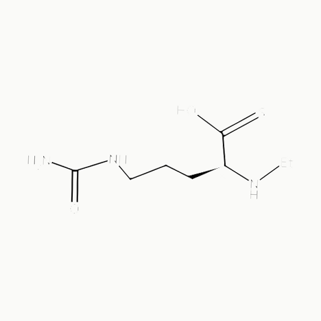 CCN[C@@H](CCCNC(N)=O)C(O)=S